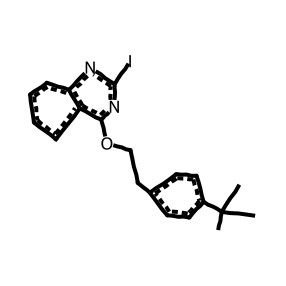 CC(C)(C)c1ccc(CCOc2nc(I)nc3ccccc23)cc1